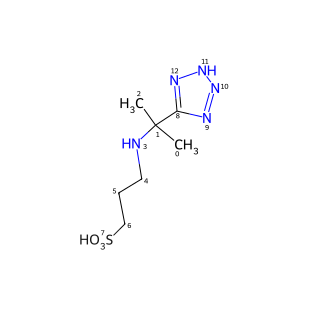 CC(C)(NCCCS(=O)(=O)O)c1nn[nH]n1